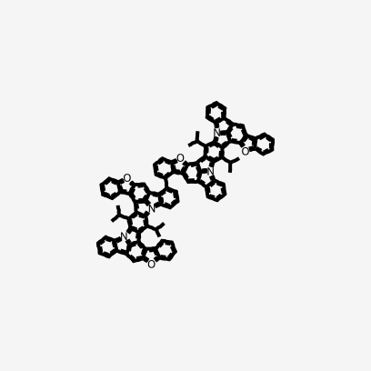 CC(C)c1c2c3c4oc5cccc(-c6cccc7c6c6cc8oc9ccccc9c8c8c9c(C(C)C)c%10c(c(C(C)C)c9n7c68)c6c7c(cc8c9ccccc9n%10c86)oc6ccccc67)c5c4cc4c5ccccc5n(c2c(C(C)C)c2c5c6oc7ccccc7c6cc6c7ccccc7n(c12)c65)c43